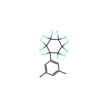 Cc1[c]c(C)cc(C2(F)C(F)(F)C(F)(F)C(F)(F)C(F)(F)C2(F)F)c1